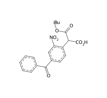 CCC(C)OC(=O)C(C(=O)O)c1ccc(C(=O)c2ccccc2)cc1[N+](=O)[O-]